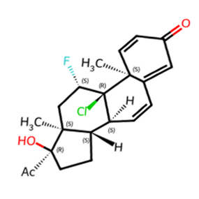 CC(=O)[C@@]1(O)CC[C@H]2[C@@H]3C=CC4=CC(=O)C=C[C@]4(C)[C@@]3(Cl)[C@@H](F)C[C@@]21C